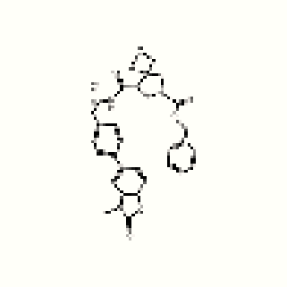 Cn1c(=O)oc2ccc(-c3ccc(C[C@H](C#N)NC(=O)C4CN(C(=O)OCc5ccccc5)CC45COC5)cc3)cc21